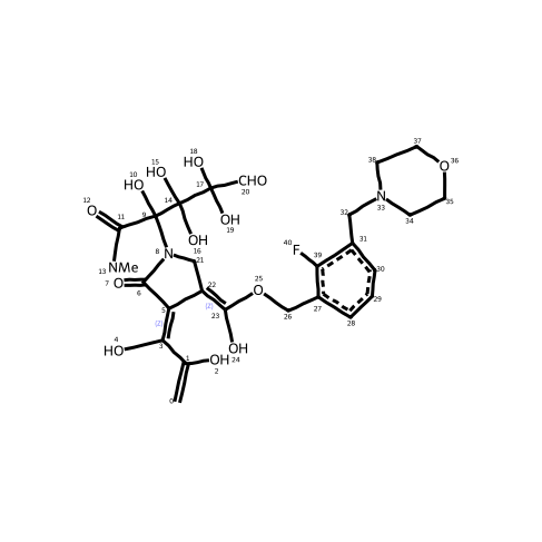 C=C(O)/C(O)=C1/C(=O)N(C(O)(C(=O)NC)C(O)(O)C(O)(O)C=O)C/C1=C(/O)OCc1cccc(CN2CCOCC2)c1F